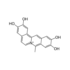 Cc1c2cc(O)c(O)cc2cc2c3cc(O)c(O)cc3cc[n+]12